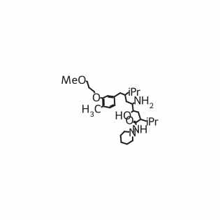 COCCCOc1cc(CC(CC(N)C(O)CC(C(=O)NN2CCCCC2)C(C)C)C(C)C)ccc1C